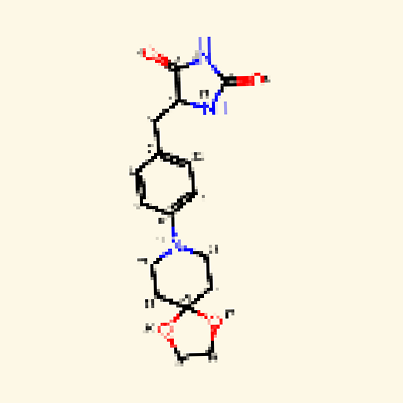 O=C1NC(=O)C(Cc2ccc(N3CCC4(CC3)OCCO4)cc2)N1